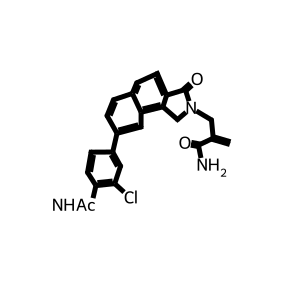 C=C(CN1Cc2c(ccc3ccc(-c4ccc(NC(C)=O)c(Cl)c4)cc23)C1=O)C(N)=O